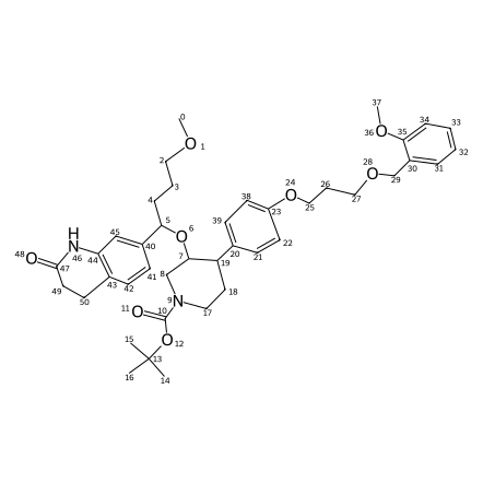 COCCCC(OC1CN(C(=O)OC(C)(C)C)CCC1c1ccc(OCCCOCc2ccccc2OC)cc1)c1ccc2c(c1)NC(=O)CC2